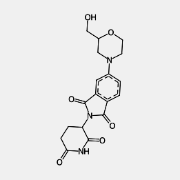 O=C1CCC(N2C(=O)c3ccc(N4CCOC(CO)C4)cc3C2=O)C(=O)N1